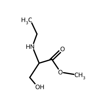 CCNC(CO)C(=O)OC